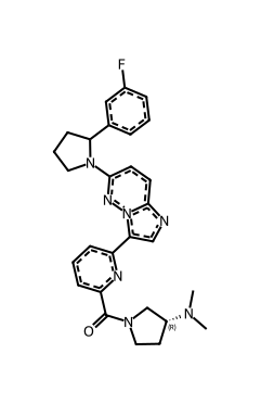 CN(C)[C@@H]1CCN(C(=O)c2cccc(-c3cnc4ccc(N5CCCC5c5cccc(F)c5)nn34)n2)C1